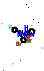 O=c1nccccc1Nc1nc2c(Br)cc(Br)cc2c2nc(-c3ccc(F)cc3)nn12